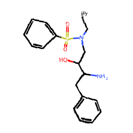 CC(C)CN(CC(O)C(N)Cc1ccccc1)S(=O)(=O)c1ccccc1